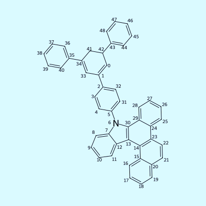 C1=C(c2ccc(-n3c4ccccc4c4c5c6ccccc6ccc5c5ccccc5c43)cc2)C=C(c2ccccc2)CC1c1ccccc1